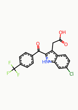 O=C(O)Cc1c(C(=O)c2ccc(C(F)(F)F)cc2)[nH]c2cc(Cl)ccc12